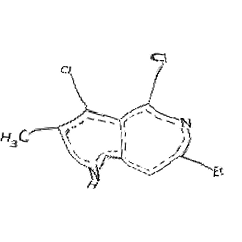 CCc1cc2[nH]c(C)c(Cl)c2c(Cl)n1